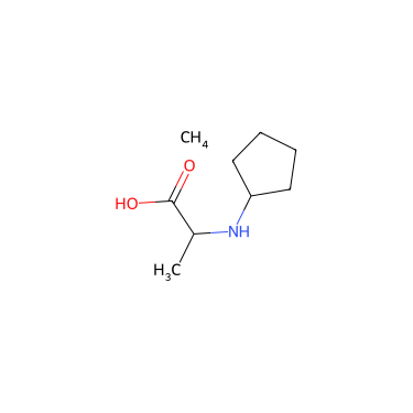 C.CC(NC1CCCC1)C(=O)O